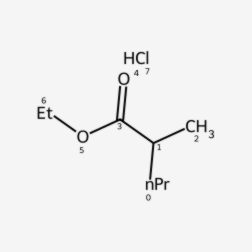 CCCC(C)C(=O)OCC.Cl